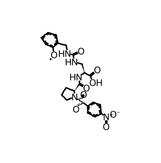 COc1ccccc1CNC(=O)NC[C@H](NC(=O)[C@@H]1CCCN1S(=O)(=O)c1ccc([N+](=O)[O-])cc1)C(=O)O